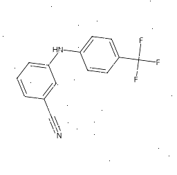 N#Cc1cccc(Nc2ccc(C(F)(F)F)cc2)c1